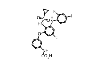 O=C(O)Nc1cccc(Oc2cc(F)cc(Nc3ccc(I)cc3F)c2NS(=O)(=O)C2CC2)c1